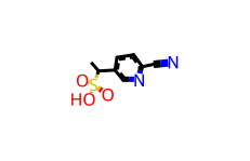 CC(c1ccc(C#N)nc1)S(=O)(=O)O